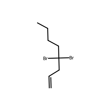 C=CCC(Br)(Br)CCCC